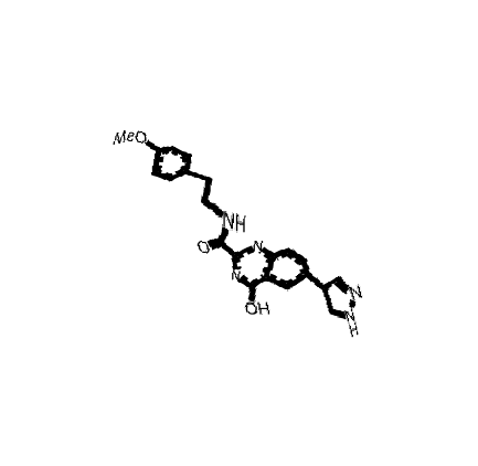 COc1ccc(CCNC(=O)c2nc(O)c3cc(C4C=NNC4)ccc3n2)cc1